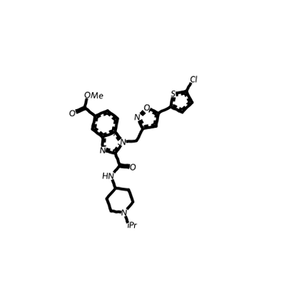 COC(=O)c1ccc2c(c1)nc(C(=O)NC1CCN(C(C)C)CC1)n2Cc1cc(-c2ccc(Cl)s2)on1